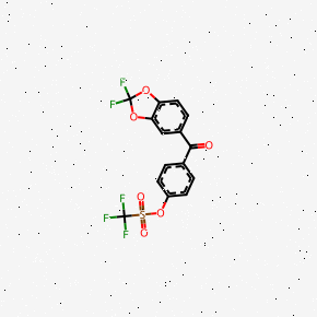 O=C(c1ccc(OS(=O)(=O)C(F)(F)F)cc1)c1ccc2c(c1)OC(F)(F)O2